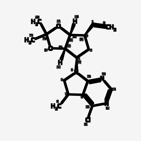 C=C[C@H]1C[C@@H](N2CC(C)c3c(Cl)ncnc32)[C@@H]2OC(C)(C)O[C@@H]21